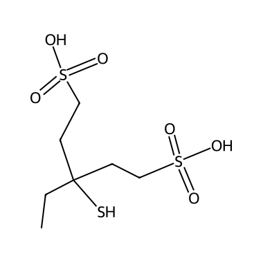 CCC(S)(CCS(=O)(=O)O)CCS(=O)(=O)O